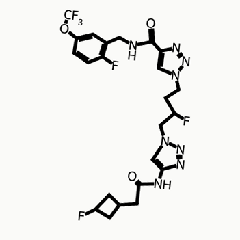 O=C(CC1CC(F)C1)Nc1cn(CC(F)CCn2cc(C(=O)NCc3cc(OC(F)(F)F)ccc3F)nn2)nn1